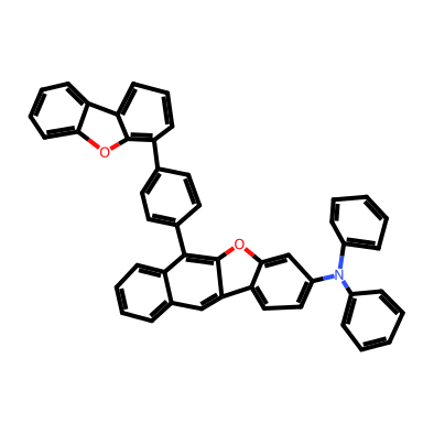 c1ccc(N(c2ccccc2)c2ccc3c(c2)oc2c(-c4ccc(-c5cccc6c5oc5ccccc56)cc4)c4ccccc4cc23)cc1